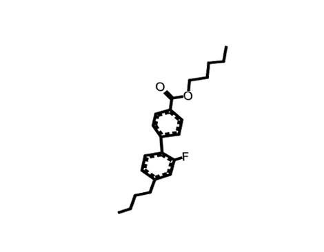 CCCCCOC(=O)c1ccc(-c2ccc(CCCC)cc2F)cc1